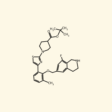 Cc1cccc(-c2csc(N3CCC(C(=O)OC(C)(C)C)CC3)n2)c1OCc1cc(F)c2c(c1)CCNC2